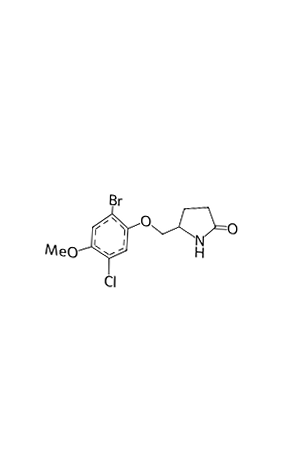 COc1cc(Br)c(OCC2CCC(=O)N2)cc1Cl